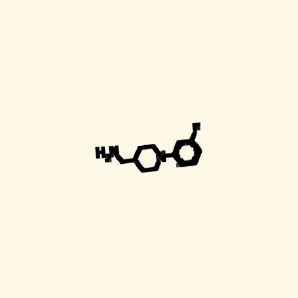 NCC1CCN(c2[c]ccc(F)c2)CC1